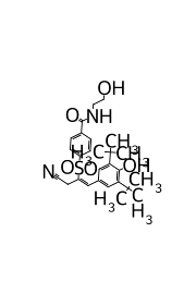 CC(C)(C)c1cc(C=C(CC#N)S(=O)(=O)c2ccc(C(=O)NCCO)cc2)cc(C(C)(C)C)c1O